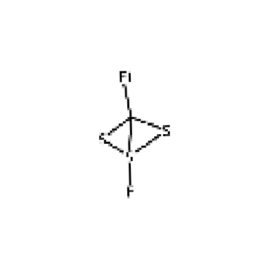 CCC12SS1(F)S2